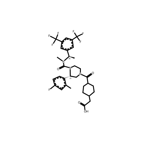 Cc1cc(F)ccc1[C@H]1CN(C(=O)C2CCC(CC(=O)O)CC2)CCN1C(=O)N(C)[C@H](C)c1cc(C(F)(F)F)cc(C(F)(F)F)c1